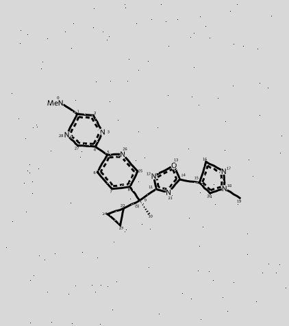 CNc1cnc(-c2ccc([C@@](C)(c3noc(-c4cnn(C)c4)n3)C3CC3)cn2)cn1